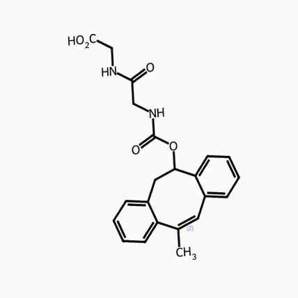 C/C1=C/c2ccccc2C(OC(=O)NCC(=O)NCC(=O)O)Cc2ccccc21